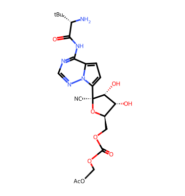 CC(=O)OCOC(=O)OC[C@H]1O[C@@](C#N)(c2ccc3c(NC(=O)[C@@H](N)C(C)(C)C)ncnn23)[C@H](O)[C@@H]1O